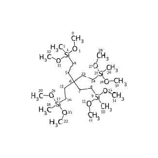 CO[Si](C)(CCC(CC[Si](C)(OC)OC)(CC[Si](C)(OC)OC)CC[Si](C)(OC)OC)OC